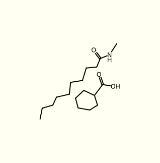 CCCCCCCCCC(=O)NC.O=C(O)C1CCCCC1